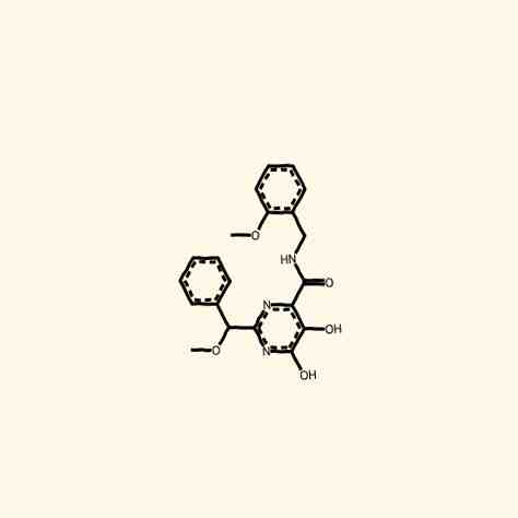 COc1ccccc1CNC(=O)c1nc(C(OC)c2ccccc2)nc(O)c1O